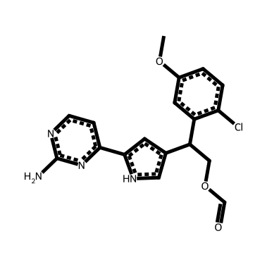 COc1ccc(Cl)c(C(COC=O)c2c[nH]c(-c3ccnc(N)n3)c2)c1